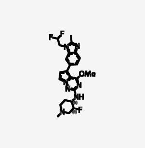 COc1nc(N[C@@H]2CCN(C)C[C@@H]2F)nn2ccc(-c3ccc4nc(C)n(CC(F)F)c4c3)c12